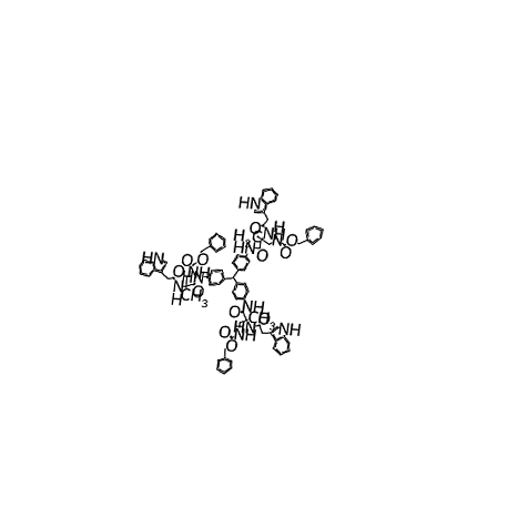 C[C@](CNC(=O)OCc1ccccc1)(NC(=O)Cc1c[nH]c2ccccc12)C(=O)Nc1ccc(C(c2ccc(NC(=O)[C@@](C)(CNC(=O)OCc3ccccc3)NC(=O)Cc3c[nH]c4ccccc34)cc2)c2ccc(NC(=O)[C@@](C)(CNC(=O)OCc3ccccc3)NC(=O)Cc3c[nH]c4ccccc34)cc2)cc1